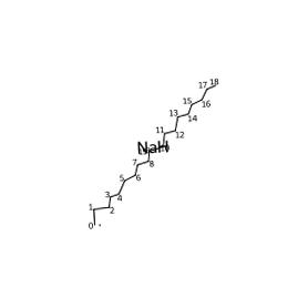 [CH2]CCCCCCCCCCCCCCCCCC.[NaH]